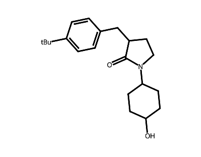 CC(C)(C)c1ccc(CC2CCN(C3CCC(O)CC3)C2=O)cc1